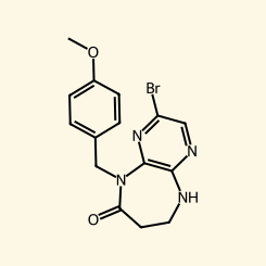 COc1ccc(CN2C(=O)CCNc3ncc(Br)nc32)cc1